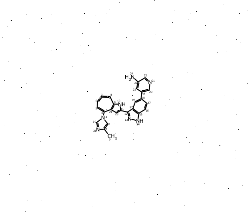 Cc1cn(C2=CC=C=Cc3[nH]c(-c4n[nH]c5ccc(-c6cncc(N)c6)cc45)cc32)cn1